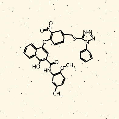 COc1ccc(C)cc1NC(=O)c1cc(Oc2ccc(CSc3nnnn3-c3ccccc3)cc2[N+](=O)[O-])c2ccccc2c1O